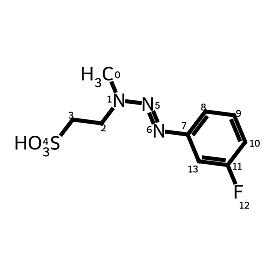 CN(CCS(=O)(=O)O)/N=N/c1cccc(F)c1